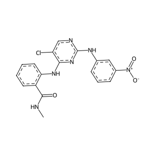 CNC(=O)c1ccccc1Nc1nc(Nc2cccc([N+](=O)[O-])c2)ncc1Cl